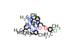 C=C(C)c1ccnc(Cn2c(C(=O)O)cc3cc(C)cc(N4CC(C)n5c(c(CCCOc6cc(C)c(Cl)c(C)c6)c6ccc(Cl)c(-c7c(C)nn(C)c7C)c65)C4=O)c32)c1